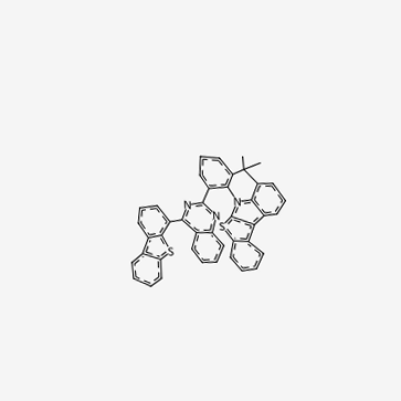 CC1(C)c2cccc(-c3nc(-c4cccc5c4sc4ccccc45)c4ccccc4n3)c2-n2c3sc4ccccc4c3c3cccc1c32